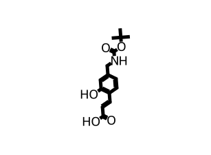 CC(C)(C)OC(=O)NCc1ccc(/C=C/C(=O)O)c(O)c1